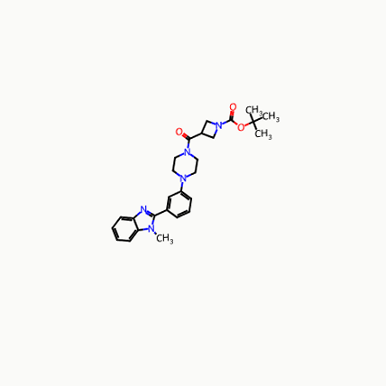 Cn1c(-c2cccc(N3CCN(C(=O)C4CN(C(=O)OC(C)(C)C)C4)CC3)c2)nc2ccccc21